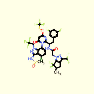 CC1Cc2c(C(F)F)nn(CC(=O)NC(Cc3cc(F)cc(F)c3)c3nc(OSC(F)(F)F)cc(=O)n3-c3ccc(Cl)c4c(N[S+](C)[O-])nn(CC(F)(F)F)c34)c2C1(F)F